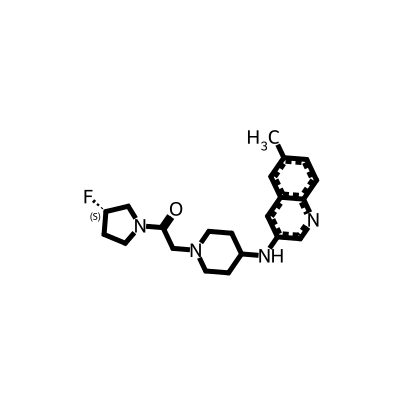 Cc1ccc2ncc(NC3CCN(CC(=O)N4CC[C@H](F)C4)CC3)cc2c1